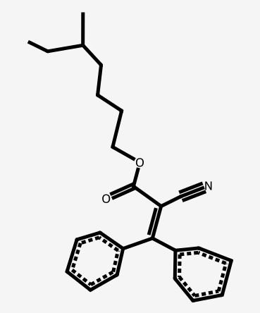 CCC(C)CCCCOC(=O)C(C#N)=C(c1ccccc1)c1ccccc1